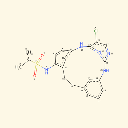 CC(C)S(=O)(=O)Nc1ccc2cc1CCc1cccc(c1)Nc1ncc(Cl)c(n1)N2